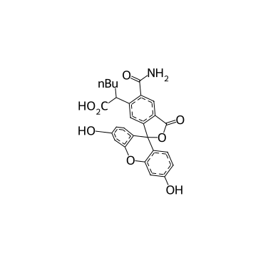 CCCCC(C(=O)O)c1cc2c(cc1C(N)=O)C(=O)OC21c2ccc(O)cc2Oc2cc(O)ccc21